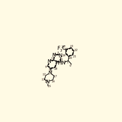 CC(Nc1ncnc2ncc(N3CCN(C)CC3)cc12)c1cccc(C(F)(F)F)c1